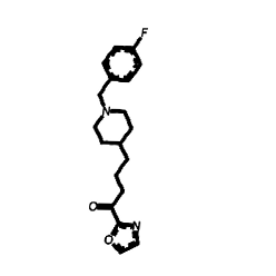 O=C(CCCC1CCN(Cc2ccc(F)cc2)CC1)c1ncco1